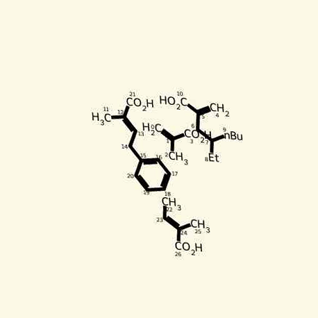 C=C(C)C(=O)O.C=C(CC(CC)CCCC)C(=O)O.CC(=CCc1ccccc1)C(=O)O.CC=C(C)C(=O)O